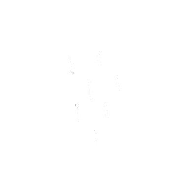 Cc1cnc2c(ccc3c(C)ccnc32)c1